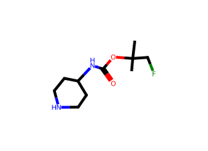 CC(C)(CF)OC(=O)NC1CCNCC1